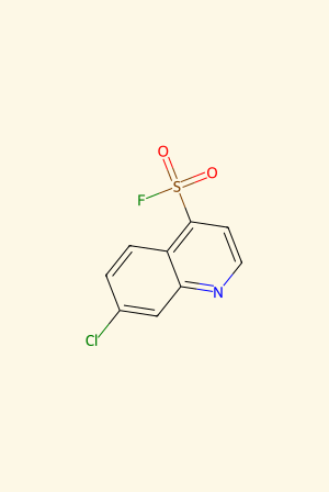 O=S(=O)(F)c1ccnc2cc(Cl)ccc12